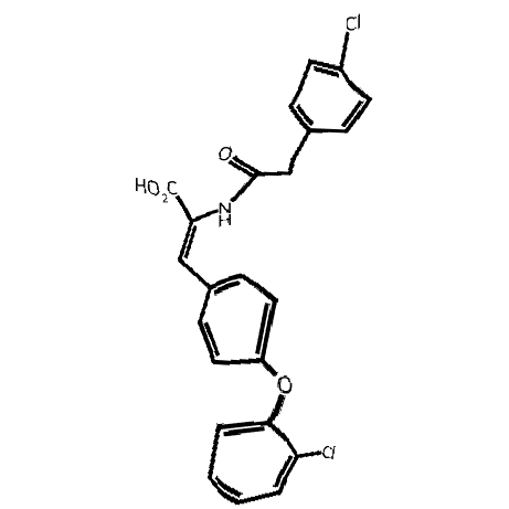 O=C(Cc1ccc(Cl)cc1)N/C(=C\c1ccc(Oc2ccccc2Cl)cc1)C(=O)O